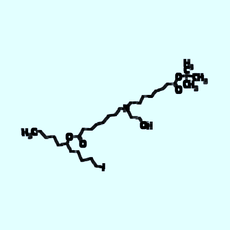 CCCCCC(CCCCCI)OC(=O)CCCCCCCN(CCO)CCCCCCCC(=O)OC(C)(C)C